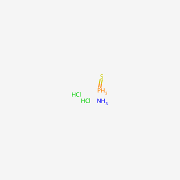 Cl.Cl.N.[PH3]=S